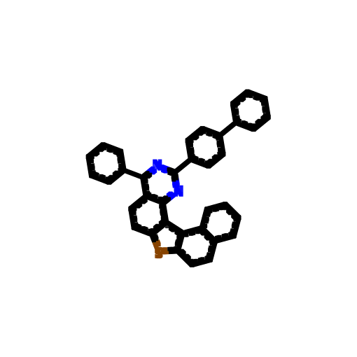 c1ccc(-c2ccc(-c3nc(-c4ccccc4)c4ccc5sc6ccc7ccccc7c6c5c4n3)cc2)cc1